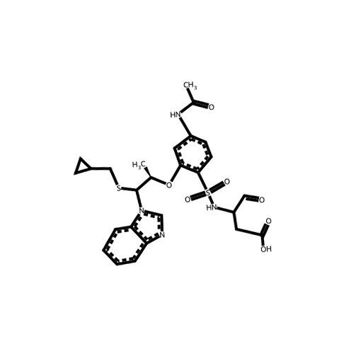 CC(=O)Nc1ccc(S(=O)(=O)NC(C=O)CC(=O)O)c(O[C@H](C)C(SCC2CC2)n2cnc3ccccc32)c1